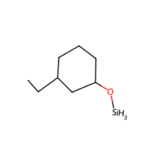 CCC1CCCC(O[SiH3])C1